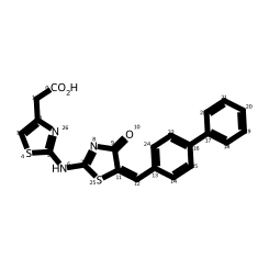 O=C(O)Cc1csc(NC2=NC(=O)C(=Cc3ccc(-c4ccccc4)cc3)S2)n1